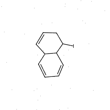 IC1CC=CC2C=CC=CC21